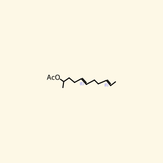 C/C=C/CC/C=C/CCC(C)OC(C)=O